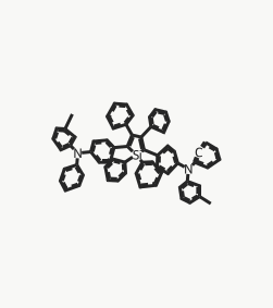 Cc1cccc(N(c2ccccc2)c2ccc(C3=C(c4ccccc4)C(c4ccccc4)=C(c4ccc(N(c5ccccc5)c5cccc(C)c5)cc4)[Si]3(c3ccccc3)c3ccccc3)cc2)c1